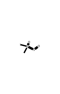 CS(=O)(I)=S=O